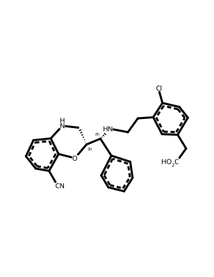 N#Cc1cccc2c1O[C@@H]([C@H](NCCc1cc(CC(=O)O)ccc1Cl)c1ccccc1)CN2